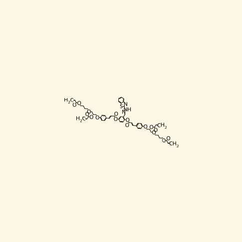 C=CC(=O)OCCCCOCC(COc1ccc(/C=C/C(=O)Oc2ccc(OC(=O)/C=C/c3ccc(OCC(COCCCCOC(=O)C=C)OC(=O)C=C)cc3)c(/C=N/Nc3nc4ccccc4s3)c2)cc1)OC(=O)C=C